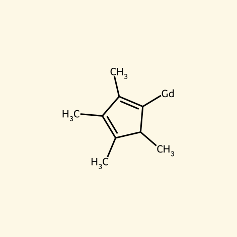 CC1=C(C)C(C)[C]([Gd])=C1C